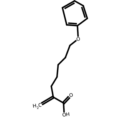 C=C(CCCCCOc1ccccc1)C(=O)O